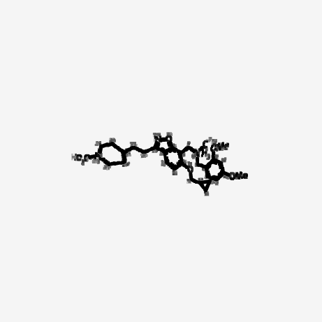 COc1ccc(CN(C)Cc2c(OCC3CC3)ccc3c(CCC4CCN(C(=O)O)CC4)noc23)c(OC)c1